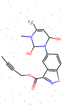 CC#CCOC(=O)c1nsc2ccc(N3C(O)C=C(C(F)(F)F)N(C)C3O)cc12